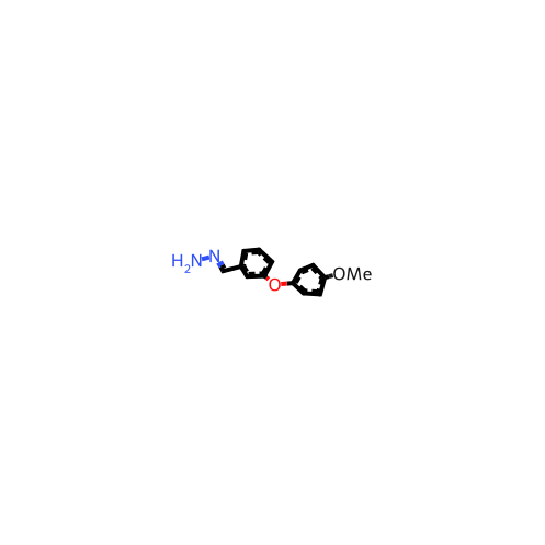 COc1ccc(Oc2cccc(C=NN)c2)cc1